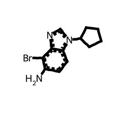 Nc1ccc2c(ncn2C2CCCC2)c1Br